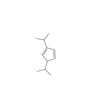 CC(C)C1=[C]C(C(C)C)C=C1